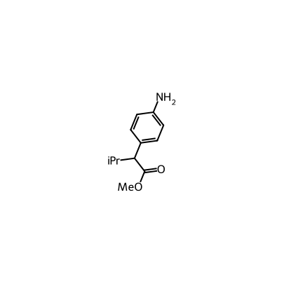 COC(=O)C(c1ccc(N)cc1)C(C)C